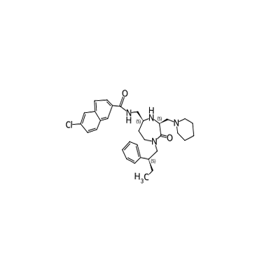 CC[C@H](CN1CC[C@@H](CNC(=O)c2ccc3cc(Cl)ccc3c2)N[C@@H](CN2CCCCC2)C1=O)c1ccccc1